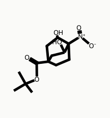 CC(C)(C)OC(=O)C12CCC([N+](=O)[O-])(C(O)C1)C(O)C2